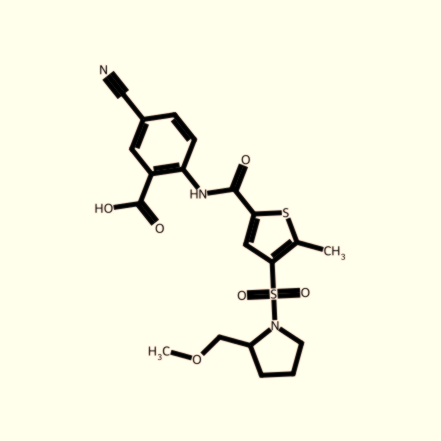 COCC1CCCN1S(=O)(=O)c1cc(C(=O)Nc2ccc(C#N)cc2C(=O)O)sc1C